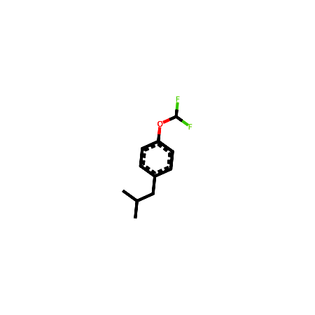 CC(C)Cc1ccc(OC(F)F)cc1